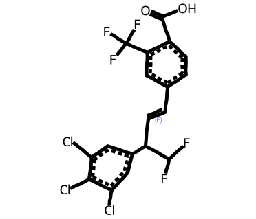 O=C(O)c1ccc(/C=C/C(c2cc(Cl)c(Cl)c(Cl)c2)C(F)F)cc1C(F)(F)F